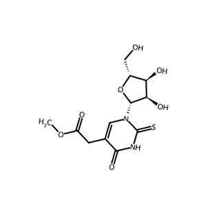 COC(=O)Cc1cn([C@@H]2O[C@H](CO)[C@@H](O)[C@H]2O)c(=S)[nH]c1=O